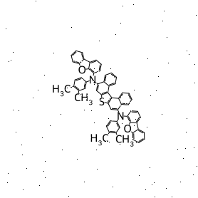 Cc1ccc(N(c2cc3sc4cc(N(c5ccc(C)c(C)c5)c5cccc6c5oc5ccccc56)c5ccccc5c4c3c3ccccc23)c2cccc3c2oc2ccccc23)cc1C